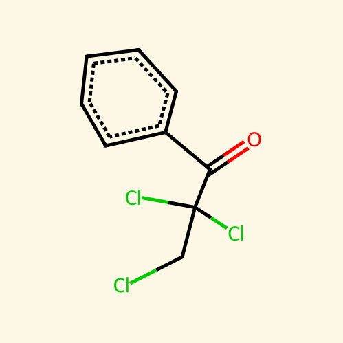 O=C(c1ccccc1)C(Cl)(Cl)CCl